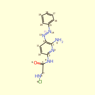 Nc1nc(NC(=O)CNCl)ccc1/N=N/c1ccccc1